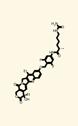 CCc1c2c(nc3ccc(OCc4c(F)cc(NC(=O)[C@@H](C)CCCCNC(N)=O)cc4F)cc13)-c1cc3c(c(=O)n1C2)COC(=O)[C@]3(O)CC